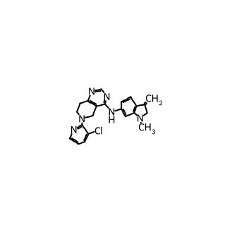 C=C1CN(C)c2cc(Nc3ncnc4c3CN(c3ncccc3Cl)CC4)ccc21